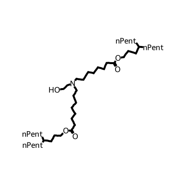 CCCCCC(CCCCC)CCCOC(=O)CCCCCCCN(CCO)CCCCCCCC(=O)OCCCC(CCCCC)CCCCC